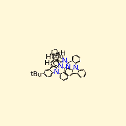 CC(C)(C)c1ccc2c(c1)c1cc(C(C)(C)C)ccc1n2-c1ccccc1-c1nc(-c2ccccc2-n2c3ccccc3c3ccccc32)nc([C@@]2(C)C[C@@H]3CC[C@@H](C3)C2)n1